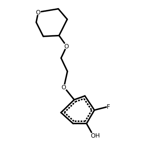 Oc1ccc(OCCOC2CCOCC2)cc1F